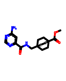 COC(=O)C12CCC(CNC(=O)c3cc(N)ncn3)(CC1)CC2